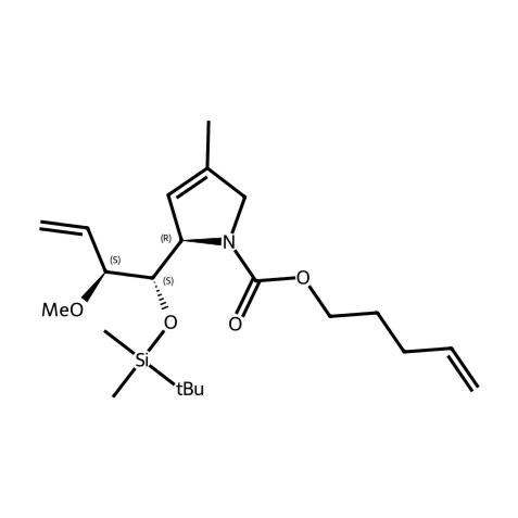 C=CCCCOC(=O)N1CC(C)=C[C@@H]1[C@H](O[Si](C)(C)C(C)(C)C)[C@H](C=C)OC